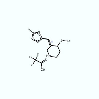 CC(=O)SC1CCNC/C1=C\c1ccn(C)n1.O=C(O)C(F)(F)F